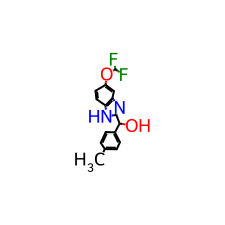 Cc1ccc(C(O)c2nc3cc(OC(F)F)ccc3[nH]2)cc1